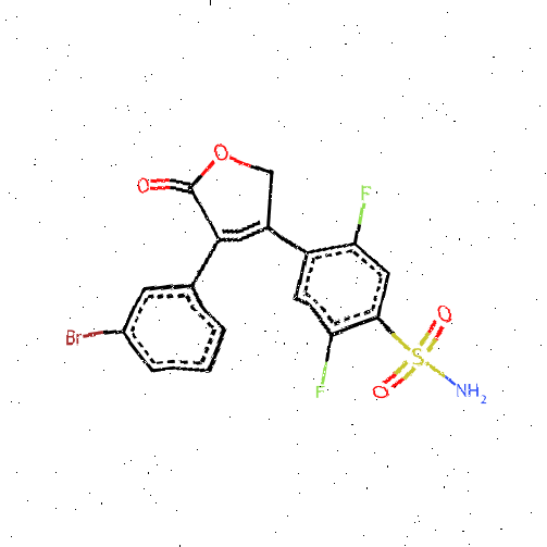 NS(=O)(=O)c1cc(F)c(C2=C(c3cccc(Br)c3)C(=O)OC2)cc1F